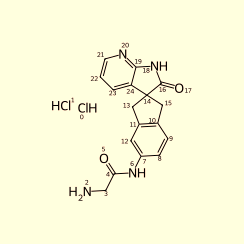 Cl.Cl.NCC(=O)Nc1ccc2c(c1)CC1(C2)C(=O)Nc2ncccc21